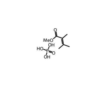 COC(=O)C(C)=C(C)C.O=P(O)(O)O